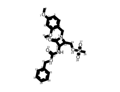 COc1ccc(CN2C(=O)C(NC(=O)OCc3ccccc3)C2COS(C)(=O)=O)c(OC)c1